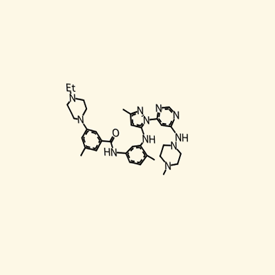 CCN1CCN(c2cc(C)cc(C(=O)Nc3ccc(C)c(Nc4cc(C)nn4-c4cc(NN5CCN(C)CC5)ncn4)c3)c2)CC1